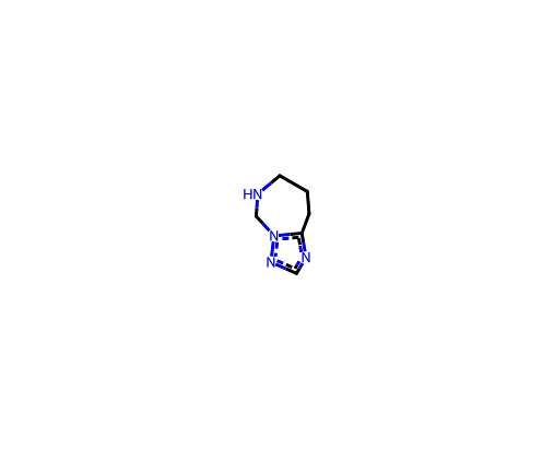 c1nc2n(n1)CNCCC2